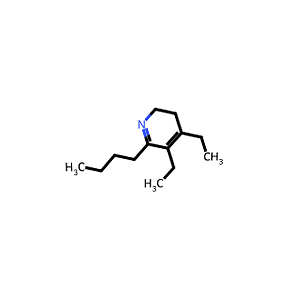 CCCCC1=NCCC(CC)=C1CC